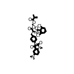 C=C(C)C(=O)OCOC(=O)[C@H](Cc1ccc(-n2c(=O)c3cc(N(C)C)ccc3n(C)c2=O)cc1)NC(=O)c1c(Cl)cccc1Cl